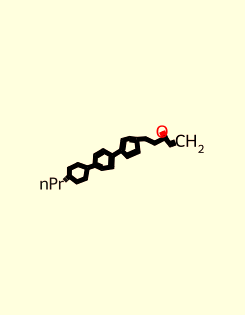 C=CC(=O)CCc1ccc(-c2ccc(C3CCC(CCC)CC3)cc2)cc1